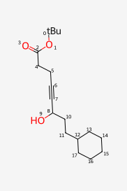 CC(C)(C)OC(=O)CCC#CC(O)CCC1CCCCC1